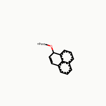 CCCCCOC1C=Cc2cccc3cccc1c23